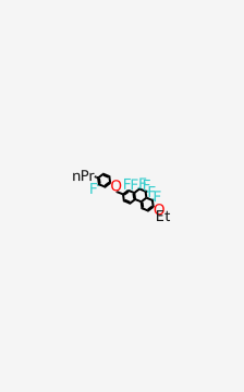 CCCc1ccc(OCc2ccc3c(c2F)C(F)(F)C(F)(F)C2C3=CC=C(OCC)C2F)cc1F